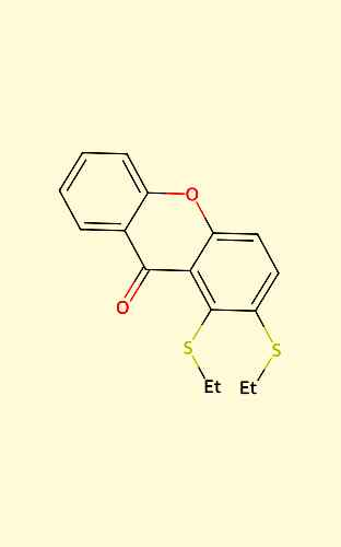 CCSc1ccc2oc3ccccc3c(=O)c2c1SCC